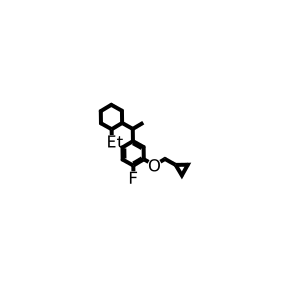 CCC1CCCCC1C(C)c1ccc(F)c(OCC2CC2)c1